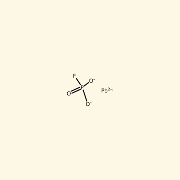 O=P([O-])([O-])F.[Pb+2]